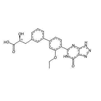 CCOc1cc(-c2cccc(C[C@H](O)C(=O)O)c2)ccc1-c1nc2[nH]nnc2c(=O)[nH]1